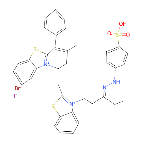 CC1=C(c2ccccc2)c2sc3ccccc3[n+]2CC1.CCC(CC[n+]1c(C)sc2ccccc21)=NNc1ccc(S(=O)(=O)O)cc1.[Br-].[I-]